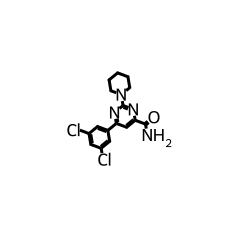 NC(=O)c1cc(-c2cc(Cl)cc(Cl)c2)nc(N2CCCCC2)n1